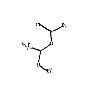 CCOC(C)OC(Cl)CC